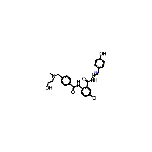 CN(CCO)Cc1ccc(C(=O)Nc2ccc(Cl)cc2C(=O)N/N=C/c2ccc(O)cc2)cc1